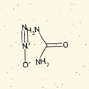 N#[N+][O-].NC(N)=O